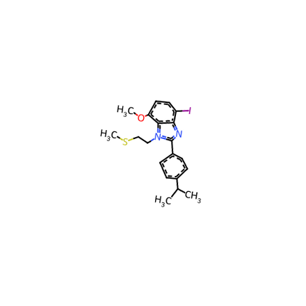 COc1ccc(I)c2nc(-c3ccc(C(C)C)cc3)n(CCSC)c12